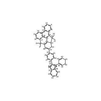 CC1(C)C2=C3c4c(c5ccccc5c5cccc1c45)C(C)(C)C3CC(c1ccc(-c3nc4ccccc4n3C3=CCCC=C3)cc1)=C2